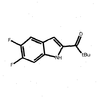 CC(C)(C)C(=O)c1cc2cc(F)c(F)cc2[nH]1